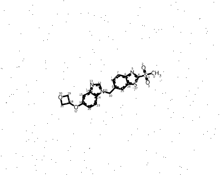 CS(=O)(=O)c1nc2ccc(Cn3cnc4cc(OC5COC5)ccc43)cc2s1